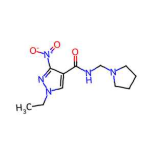 CCn1cc(C(=O)NCN2CCCC2)c([N+](=O)[O-])n1